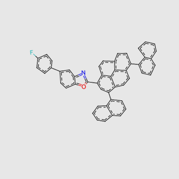 Fc1ccc(-c2ccc3oc(-c4cc(-c5cccc6ccccc56)c5ccc6c(-c7cccc8ccccc78)ccc7ccc4c5c76)nc3c2)cc1